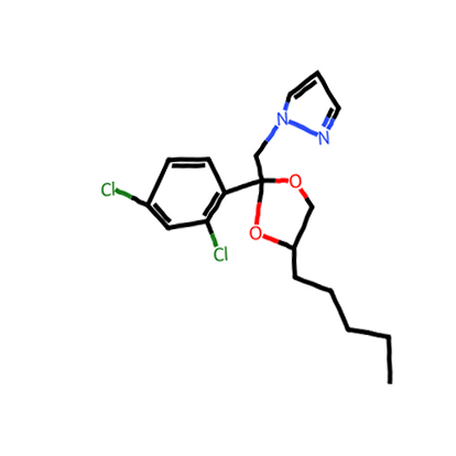 CCCCCC1COC(Cn2cccn2)(c2ccc(Cl)cc2Cl)O1